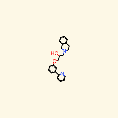 OC(COc1cccc(-c2ccccn2)c1)CN1CCc2ccccc2C1